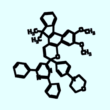 COc1cc2c3c(c4c(c2cc1OC)-c1ccccc1C4(C)C)C=CC(c1ccc(N2CCOCC2)cc1)(c1cc(-c2ccccc2)nc(-c2ccccc2)n1)O3